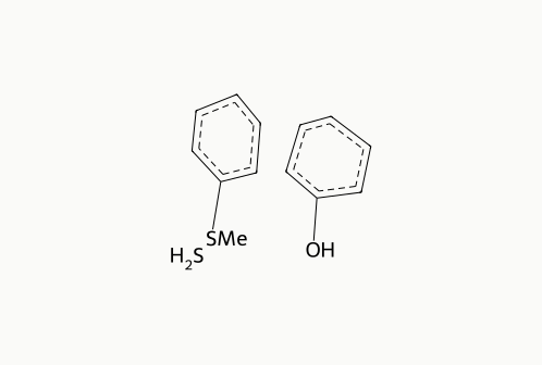 CSc1ccccc1.Oc1ccccc1.S